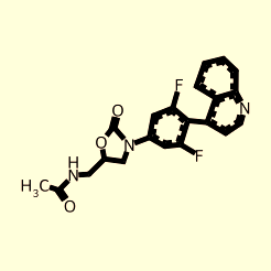 CC(=O)NCC1CN(c2cc(F)c(-c3ccnc4ccccc34)c(F)c2)C(=O)O1